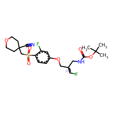 CC(C)(C)OC(=O)NC/C(=C\F)COc1ccc(S(=O)(=O)CC2(C#N)CCOCC2)c(F)c1